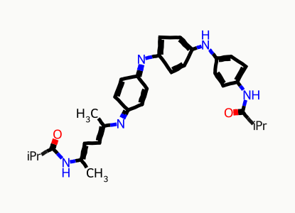 C/C(=C\C=C(/C)NC(=O)C(C)C)N=C1C=CC(=Nc2ccc(Nc3ccc(NC(=O)C(C)C)cc3)cc2)C=C1